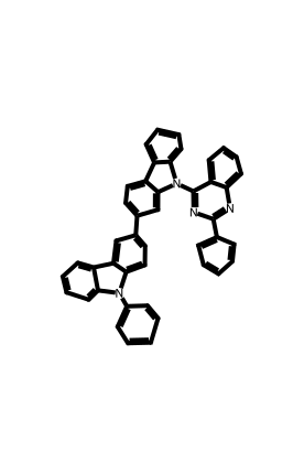 c1ccc(-c2nc(-n3c4ccccc4c4ccc(-c5ccc6c(c5)c5ccccc5n6-c5ccccc5)cc43)c3ccccc3n2)cc1